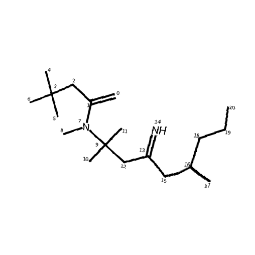 C=C(CC(C)(C)C)N(C)C(C)(C)CC(=N)CC(C)CCC